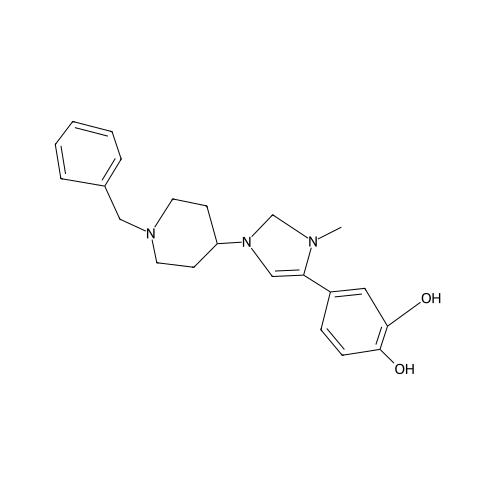 CN1CN(C2CCN(Cc3ccccc3)CC2)C=C1c1ccc(O)c(O)c1